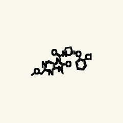 COCc1ncc2c(n1)n(C)c(=O)n2C(=O)N1CC[C@H](Oc2ccccc2Cl)C1